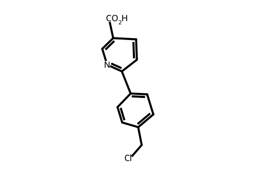 O=C(O)c1ccc(-c2ccc(CCl)cc2)nc1